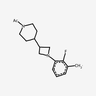 [CH2]c1cccc(N2CC(C3CCN(C(C)=O)CC3)C2)c1F